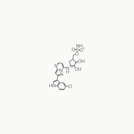 NS(=O)(=O)OCC1C[C@@H](Nc2ccnc3cc(-c4c[nH]c5ccc(Cl)cc45)nn23)[C@H](O)[C@@H]1O